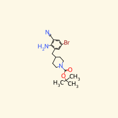 CC(C)(C)OC(=O)N1CCC(Cc2cc(Br)cc(C#N)c2N)CC1